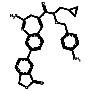 NC1=Nc2cc(-c3ccc4c(c3)C(=O)OC4)ccc2C=C(C(=O)N(CC2CC2)OCc2ccc(N)cc2)C1